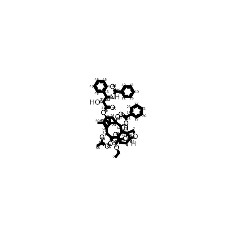 CCO[C@H]1C[C@H]2OC[C@@]2(OC(C)=O)[C@H]2[C@H](OC(=O)c3ccccc3)[C@]3(O)C[C@H](OC(=O)[C@H](O)C(NC(=O)c4ccccc4)c4ccccc4)C(C)=C([C@@H](OC(C)=O)C(=O)[C@]12C)C3(C)C